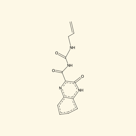 C=CCNC(=O)NC(=O)c1nc2ccccc2[nH]c1=O